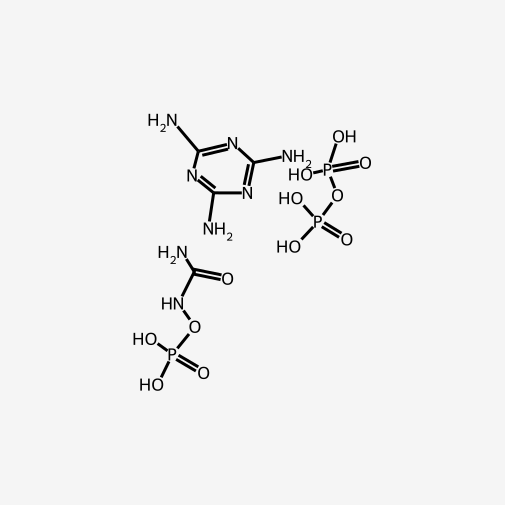 NC(=O)NOP(=O)(O)O.Nc1nc(N)nc(N)n1.O=P(O)(O)OP(=O)(O)O